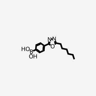 CCCCCCc1nnc(-c2ccc(B(O)O)cc2)o1